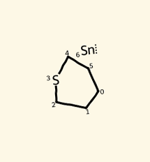 C1CCSCC1.[Sn]